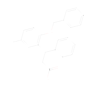 Cc1ccc(OCc2ccccc2)c(C(CC(=O)O)c2ccccc2)c1